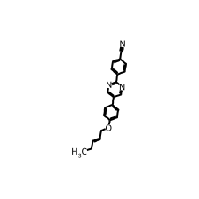 CCC=CCOc1ccc(-c2cnc(-c3ccc(C#N)cc3)nc2)cc1